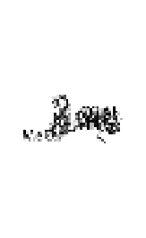 C=C[C@H]1C(=C=O)[C@]1(NC(=O)[C@@H]1C[C@@H](Oc2cc(-c3ccccc3)nc3cc(OC)ccc23)CN1C(=O)O)NS(=O)(=O)C1CC1